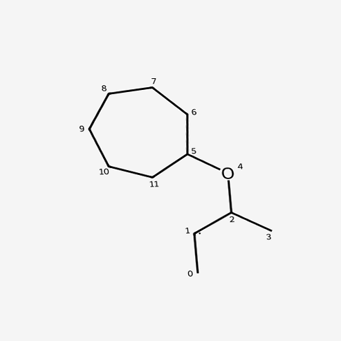 C[CH]C(C)OC1CCCCCC1